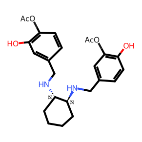 CC(=O)Oc1ccc(CN[C@H]2CCCC[C@@H]2NCc2ccc(O)c(OC(C)=O)c2)cc1O